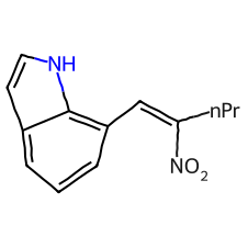 CCCC(=Cc1cccc2cc[nH]c12)[N+](=O)[O-]